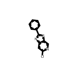 Clc1cc2nc(-c3ccccc3)sc2cn1